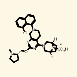 C[C@@H]1C[C@@H]2CN(c3nc(OC[C@@H]4CCCN4C)nc4c3CCN(c3cccc5cccc(Cl)c35)C4)C[C@H]1N2C(=O)O